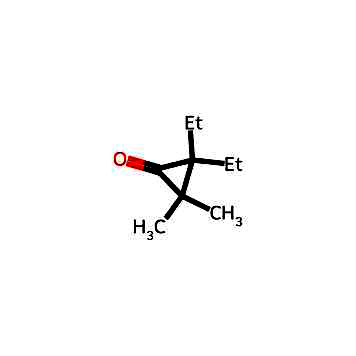 CCC1(CC)C(=O)C1(C)C